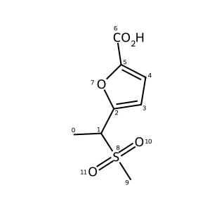 CC(c1ccc(C(=O)O)o1)S(C)(=O)=O